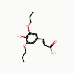 CCCOc1cc(/C=C/C(=O)O)cc(OCCC)c1O